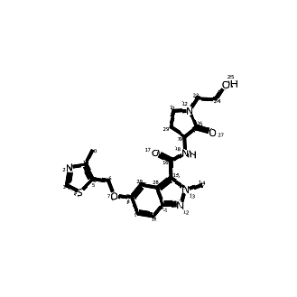 Cc1ncsc1COc1ccc2nn(C)c(C(=O)NC3CCN(CCO)C3=O)c2c1